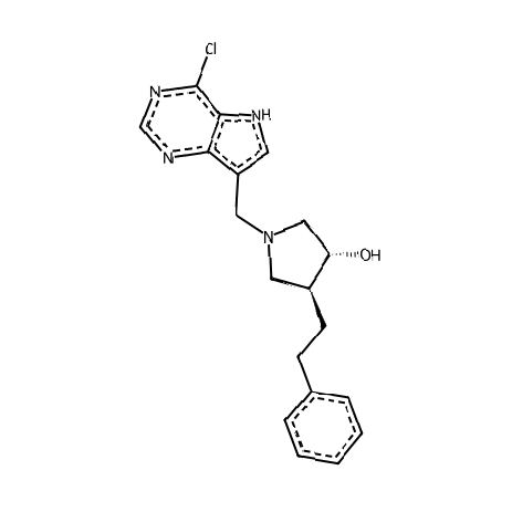 O[C@H]1CN(Cc2c[nH]c3c(Cl)ncnc23)C[C@@H]1CCc1ccccc1